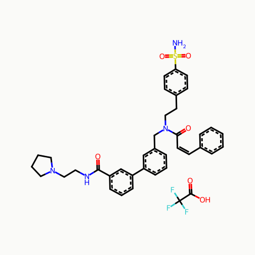 NS(=O)(=O)c1ccc(CCN(Cc2cccc(-c3cccc(C(=O)NCCN4CCCC4)c3)c2)C(=O)C=Cc2ccccc2)cc1.O=C(O)C(F)(F)F